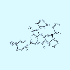 C=CC(=O)Nc1ccccc1-c1c(CC)n(CC(=O)Nc2ccc(C(F)(F)F)cc2)c2nc(C)c(-c3ccccc3)n2c1=O